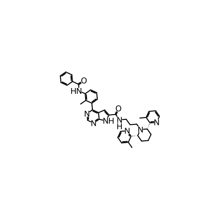 Cc1cccnc1[C@H]1CCC[C@@H](c2ncccc2C)N1CCCNC(=O)c1cc2c(-c3cccc(NC(=O)c4ccccc4)c3C)ncnc2[nH]1